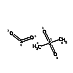 CS(C)(=O)=O.O=S=O